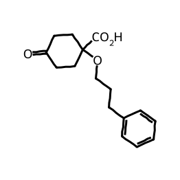 O=C1CCC(OCCCc2ccccc2)(C(=O)O)CC1